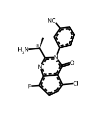 C[C@H](N)c1nc2c(F)ccc(Cl)c2c(=O)n1-c1cccc(C#N)c1